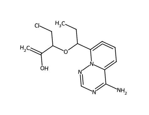 C=C(O)C(CCl)OC(CC)C1=C=CC=C2C(N)=NC=NN12